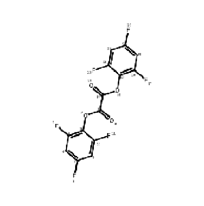 O=C(Oc1c(F)cc(F)cc1F)C(=O)Oc1c(F)cc(F)cc1F